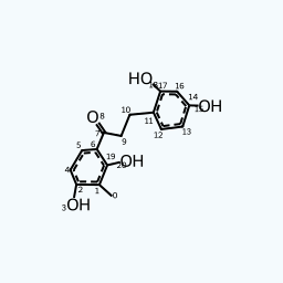 Cc1c(O)ccc(C(=O)CCc2ccc(O)cc2O)c1O